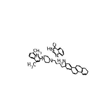 Cc1cc(N2CCN(CCCCc3cc4ccc5c(c4cc3N)CCC3=C5C=CCC3)CC2)nc2c(C)cccc12.O=c1[nH]cnc2ccccc12